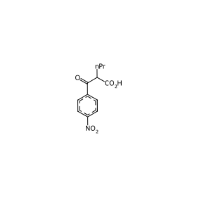 CCCC(C(=O)O)C(=O)c1ccc([N+](=O)[O-])cc1